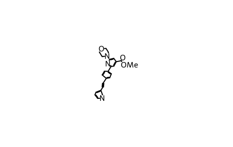 COC(=O)c1cc(-c2ccc(C#Cc3cccnc3)cc2)nc(N2CCOCC2)c1